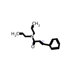 C=CCN(CC=C)C(=O)/C=C/c1ccccc1